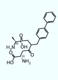 C[C@H](N)P(=O)(O)CC(Cc1ccc(-c2ccccc2)cc1)C(=O)C[C@H](N)C(=O)O